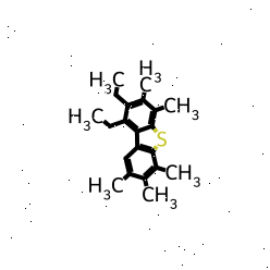 CCc1c(C)c(C)c2sc3c(C)c(C)c(C)cc3c2c1CC